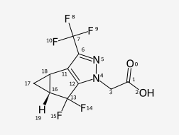 O=C(O)Cn1nc(C(F)(F)F)c2c1C(F)(F)[C@@H]1CC21